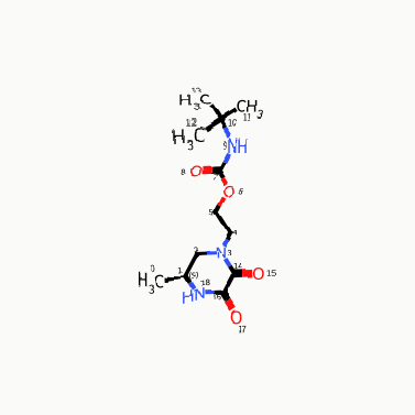 C[C@H]1CN(CCOC(=O)NC(C)(C)C)C(=O)C(=O)N1